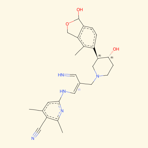 Cc1cc(N/C=C(\C=N)CN2CC[C@@H](O)[C@H](c3ccc4c(c3C)COC4O)C2)nc(C)c1C#N